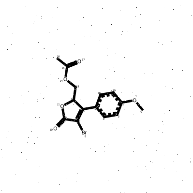 COc1ccc(C2=C(Br)C(=O)OC2COC(C)=O)cc1